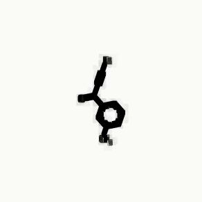 CCC#CC(=O)c1cccc(C(F)(F)F)c1